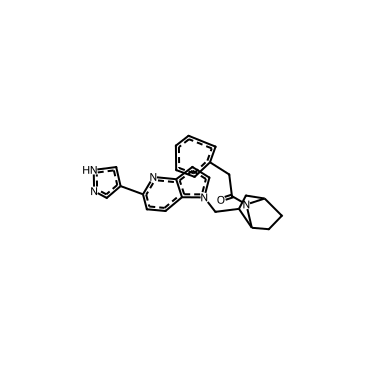 O=C(Cc1ccccc1)N1C2CCC1C(Cn1ccc3nc(-c4cn[nH]c4)ccc31)C2